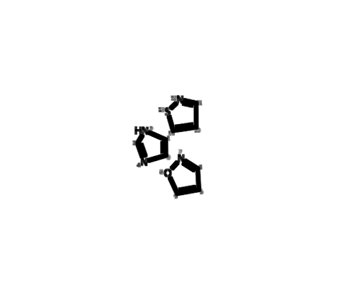 c1c[nH]cn1.c1cnoc1.c1cnsc1